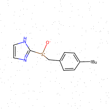 CC(C)(C)c1ccc(C[S+]([O-])c2ncc[nH]2)cc1